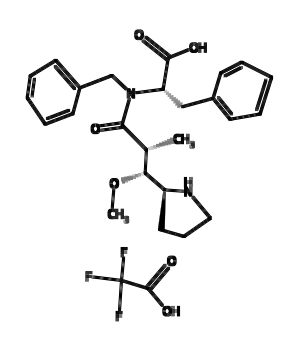 CO[C@@H]([C@@H]1CCCN1)[C@@H](C)C(=O)N(Cc1ccccc1)[C@@H](Cc1ccccc1)C(=O)O.O=C(O)C(F)(F)F